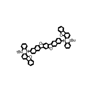 CC(C)(C)c1ccccc1N(c1ccc2cc3c(cc2c1)oc1cc2c(cc13)oc1cc3cc(N(c4ccccc4C(C)(C)C)c4cccc5c4oc4ccccc45)ccc3cc12)c1cccc2c1oc1ccccc12